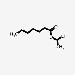 CCCCCCC(=O)OC(C)Cl